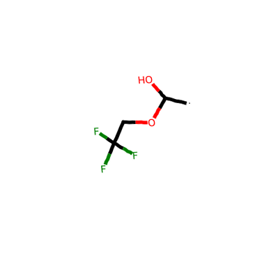 [CH2]C(O)OCC(F)(F)F